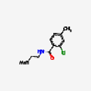 CNCCNC(=O)c1ccc(C)cc1Cl